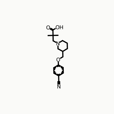 CC(C)(CN1CCCC(COc2ccc(C#N)cc2)C1)C(=O)O